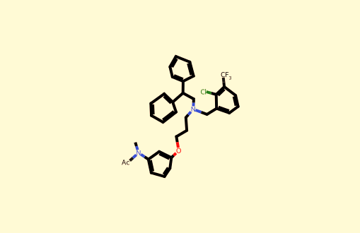 CC(=O)N(C)c1cccc(OCCCN(Cc2cccc(C(F)(F)F)c2Cl)CC(c2ccccc2)c2ccccc2)c1